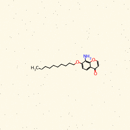 CCCCCCCCCCOc1ccc2c(=O)ccoc2c1N